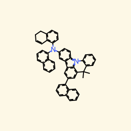 CC1(C)c2ccccc2-n2c3ccc(N(c4cccc5c4C=CCC5)c4cccc5ccccc45)cc3c3cc(-c4cccc5ccccc45)cc1c32